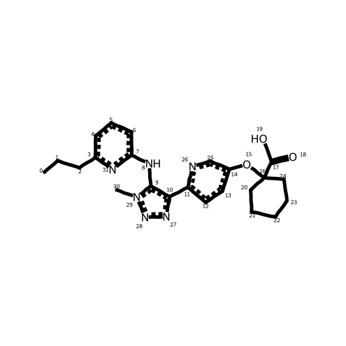 CCCc1cccc(Nc2c(-c3ccc(OC4(C(=O)O)CCCCC4)cn3)nnn2C)n1